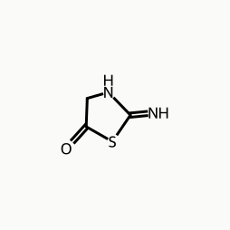 N=C1NCC(=O)S1